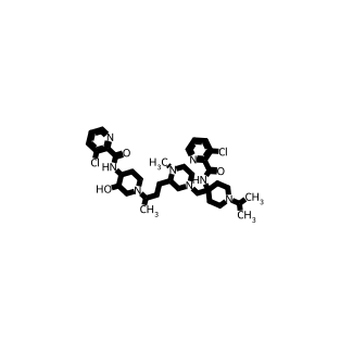 CC(C)N1CCC(CN2CCN(C)C(CCC(C)N3CCC(NC(=O)c4ncccc4Cl)C(O)C3)C2)(NC(=O)c2ncccc2Cl)CC1